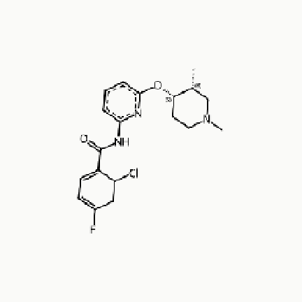 C[C@@H]1CN(C)CC[C@@H]1Oc1cccc(NC(=O)C2=CC=C(F)CC2Cl)n1